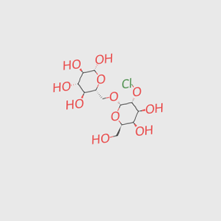 OC[C@H]1O[C@H](OC[C@H]2O[C@@H](O)[C@H](O)[C@@H](O)[C@@H]2O)[C@H](OCl)[C@@H](O)[C@H]1O